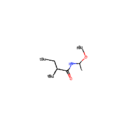 CCCCOC(C)NC(=O)C(CC(C)(C)C)C(C)(C)C